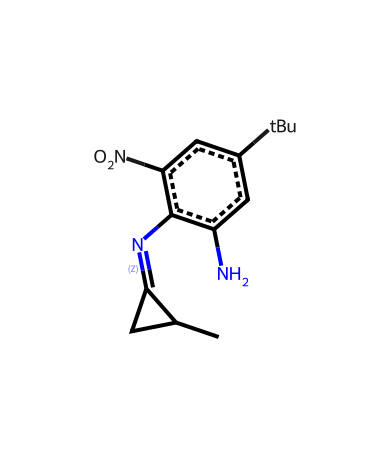 CC1C/C1=N/c1c(N)cc(C(C)(C)C)cc1[N+](=O)[O-]